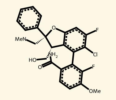 CNC[C@]1(c2ccccc2)Oc2cc(F)c(Cl)c(-c3c(C(N)=O)ccc(OC)c3F)c2[C@@H]1CO